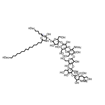 CCCCCCCCCCCCC/C=C/[C@@H](O)[C@H](CO[C@@H]1OC(CO)[C@@H](O[C@@H]2OC(CO)[C@H](O)[C@H](O[C@@H]3OC(CO)[C@@H](O[C@@H]4OC(CO)[C@H](O)[C@H](O[C@@H]5OC(CO)[C@H](O)[C@H](O[C@]6(C(=O)O)CC(O)[C@@H](NC(C)=O)C([C@H](O)[C@H](O)CO)O6)C5O)C4O)[C@H](O)C3NC(C)=O)C2O)[C@H](O)C1O)NC(=O)CCCCCCCCCCCCCCCCCCCCCCCCC